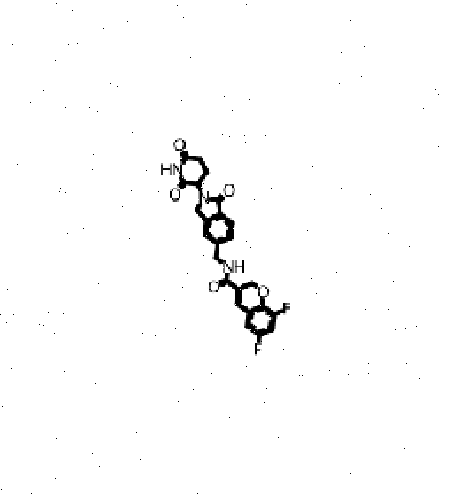 O=C1CCC(N2Cc3cc(CNC(=O)C4=Cc5cc(F)cc(F)c5OC4)ccc3C2=O)C(=O)N1